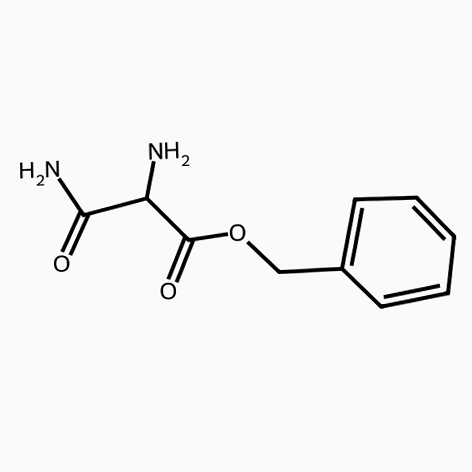 NC(=O)C(N)C(=O)OCc1ccccc1